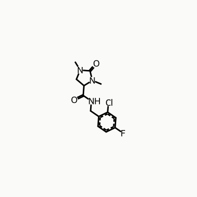 CN1CC(C(=O)NCc2ccc(F)cc2Cl)N(C)C1=O